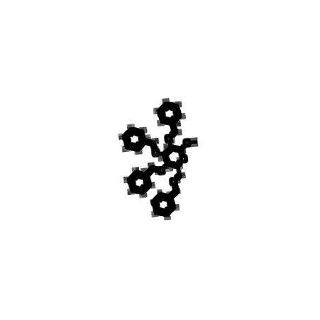 O[C@H]1O[C@H](COCc2ccccc2)[C@@H](OCc2ccccc2)[C@H](OCc2ccccc2)[C@@H]1OCc1ccccc1